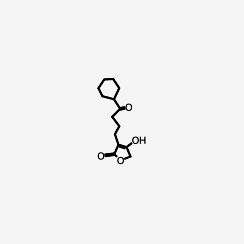 O=C1OCC(O)=C1CCCC(=O)C1CCCCC1